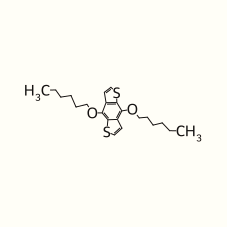 CCCCCCOc1c2ccsc2c(OCCCCCC)c2ccsc12